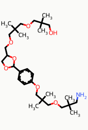 CC(C)(CN)COCC(C)(C)COc1ccc(C2OCC(COCC(C)(C)COCC(C)(C)CO)O2)cc1